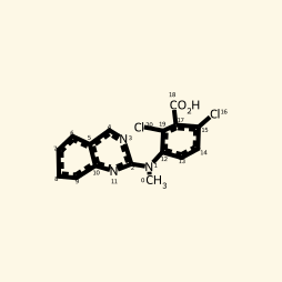 CN(c1ncc2ccccc2n1)c1ccc(Cl)c(C(=O)O)c1Cl